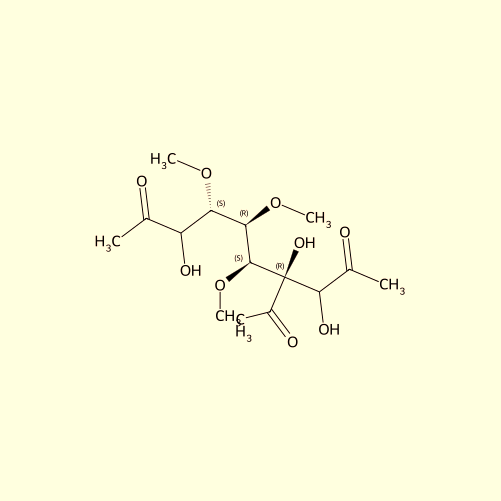 CO[C@H]([C@@H](OC)C(O)C(C)=O)[C@H](OC)[C@@](O)(C(C)=O)C(O)C(C)=O